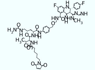 CN/C(=N\C=N)[C@H]1C(=N)c2c(cc(F)cc2C(=O)NCOCc2ccc(NC(=O)[C@H](CCCNC(N)=O)NC(=O)[C@@H](NC(=O)CCCCCN3C(=O)C=CC3=O)C(C)C)cc2)N[C@@H]1c1ccc(F)cc1